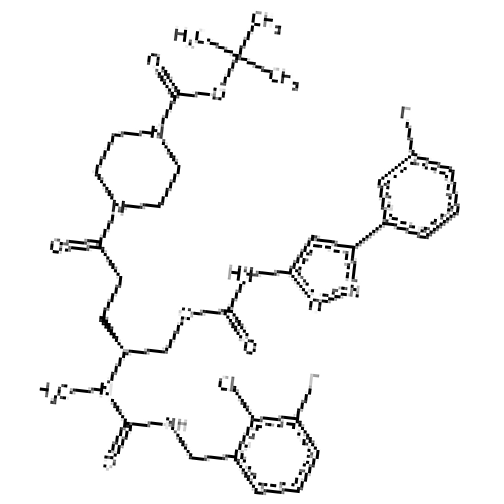 CN(C(=O)NCc1cccc(F)c1Cl)[C@@H](CCC(=O)N1CCN(C(=O)OC(C)(C)C)CC1)COC(=O)Nc1cc(-c2cccc(F)c2)no1